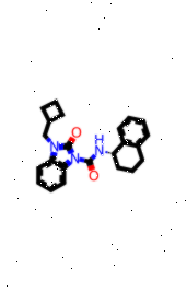 O=C(N[C@H]1CCCc2ccccc21)n1c(=O)n(CC2CCC2)c2ccccc21